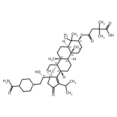 CC(C)C1=C2[C@H]3CC[C@@H]4[C@@]5(C)CC[C@H](OC(=O)CC(C)(C)C(=O)O)C(C)(C)[C@@H]5CC[C@@]4(C)[C@]3(C)CC[C@@]2([C@@H](O)CN2CCC(C(N)=O)CC2)CC1=O